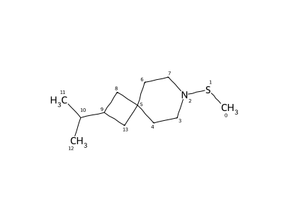 CSN1CCC2(CC1)CC(C(C)C)C2